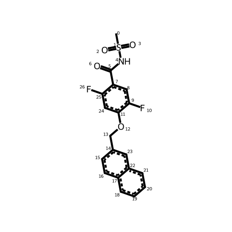 CS(=O)(=O)NC(=O)c1cc(F)c(OCc2ccc3ccccc3c2)cc1F